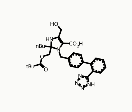 CCCCC1(COC(=O)C(C)(C)C)NC(CO)=C(C(=O)O)N1Cc1ccc(-c2ccccc2-c2nnn[nH]2)cc1